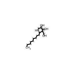 CCCCCCCCCC1NCC(O)C(O)C1CO